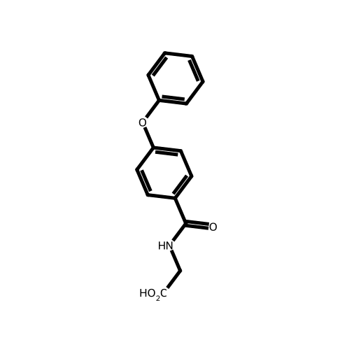 O=C(O)CNC(=O)c1ccc(Oc2ccccc2)cc1